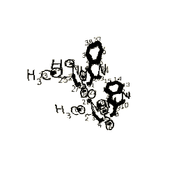 COC[C@@H](CS(=O)(=O)Cc1cnc2ccccc2c1)N(O)C=O.COC[C@@H](CS(=O)(=O)Cc1cnc2ccccc2c1)NO